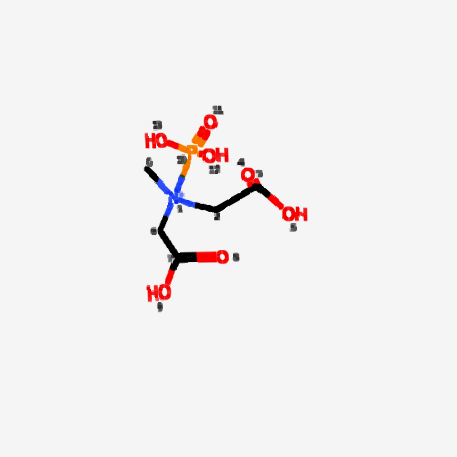 C[N+](CC(=O)O)(CC(=O)O)P(=O)(O)O